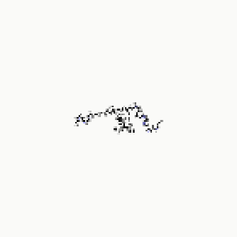 CC/C=C\C/C=C\C/C=C\C/C=C\C/C=C\C/C=C\CCC(=O)O[C@H](COC(=O)CCCCCCC/C=C\C/C=C\C/C=C\CC)COP(=O)(O)OC[C@H](N)C(=O)O